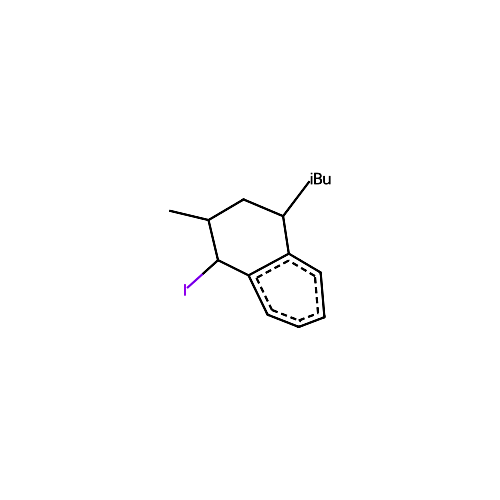 CCC(C)C1CC(C)C(I)c2ccccc21